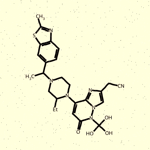 CCC1CN(C(C)c2ccc3nc(C)sc3c2)CCN1c1cc(=O)n(C(O)(O)O)n2cc(CC#N)nc12